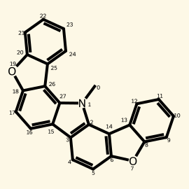 Cn1c2c(ccc3oc4ccccc4c32)c2ccc3oc4ccccc4c3c21